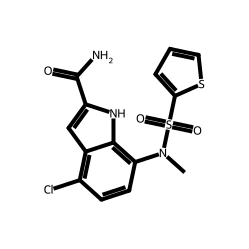 CN(c1ccc(Cl)c2cc(C(N)=O)[nH]c12)S(=O)(=O)c1cccs1